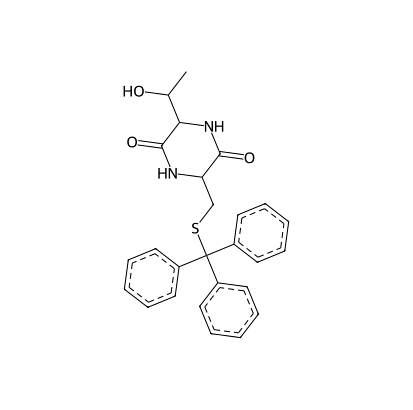 CC(O)C1NC(=O)C(CSC(c2ccccc2)(c2ccccc2)c2ccccc2)NC1=O